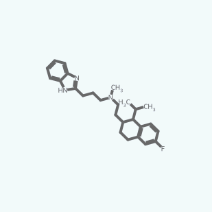 CC(C)C1[C](CCN(C)CCCc2nc3ccccc3[nH]2)CCc2cc(F)ccc21